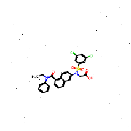 CCN(C(=O)c1cccc2cc(N(CC(=O)O)S(=O)(=O)c3cc(Cl)cc(Cl)c3)ccc12)c1ccccc1